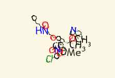 COC(=O)C1(N(C(=O)C(F)(F)F)c2cccc(Cl)c2)CCC2(CC1)c1cc(OCCCNC(=O)CCCc3ccccc3)ccc1C[C@@H]2C[C@@H](C)COc1ccnc2c1[C@H](C)CCC2